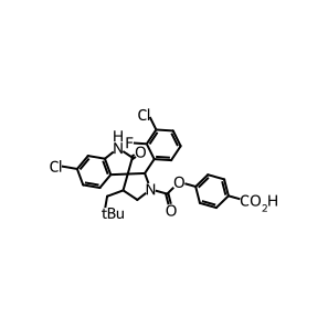 CC(C)(C)CC1CN(C(=O)Oc2ccc(C(=O)O)cc2)C(c2cccc(Cl)c2F)C12C(=O)Nc1cc(Cl)ccc12